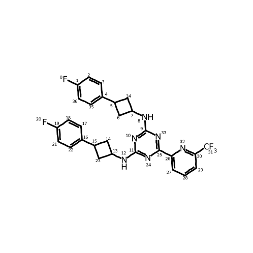 Fc1ccc(C2CC(Nc3nc(NC4CC(c5ccc(F)cc5)C4)nc(-c4cccc(C(F)(F)F)n4)n3)C2)cc1